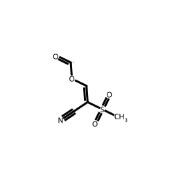 CS(=O)(=O)C(C#N)=CO[C]=O